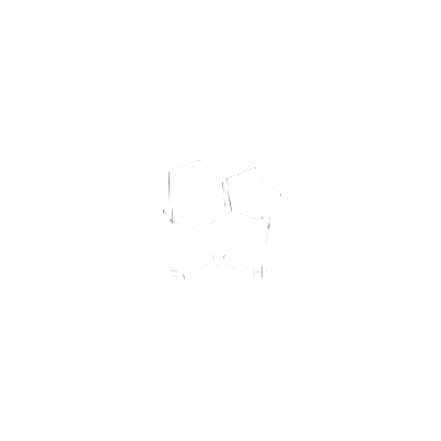 CCOC=O.c1cc2cc[nH]c2cn1